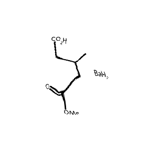 COC(=O)CC(C)CC(=O)O.[BaH2]